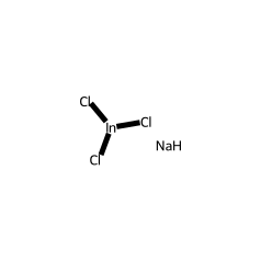 [Cl][In]([Cl])[Cl].[NaH]